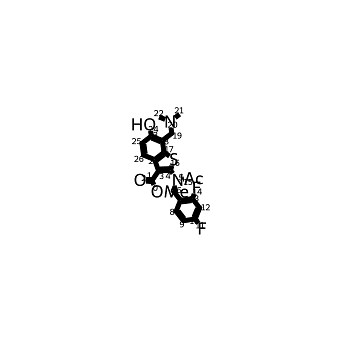 COC(=O)c1c(N(Cc2ccc(F)cc2F)C(C)=O)sc2c(CN(C)C)c(O)ccc12